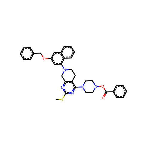 CSc1nc2c(c(N3CCN(OC(=O)c4ccccc4)CC3)n1)CCN(c1cc(OCc3ccccc3)cc3ccccc13)C2